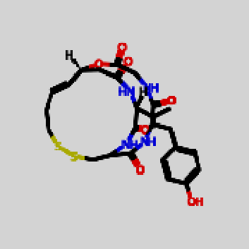 CC(C)[C@H]1NC(=O)C[C@H]2/C=C/CCSSCC(NC1=O)C(=O)NC(Cc1ccc(O)cc1)C(=O)NCC(=O)O2